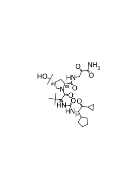 CC(C)(C)[C@H](NC(=O)N[C@H](C(=O)C1CC1)C1CCCC1)C(=O)N1C[C@H](C(C)(C)O)C[C@H]1C(=O)NCC(=O)C(N)=O